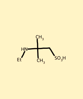 CCNC(C)(C)CS(=O)(=O)O